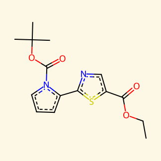 CCOC(=O)c1cnc(-c2cccn2C(=O)OC(C)(C)C)s1